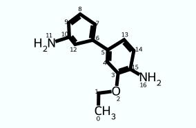 CCOc1cc(-c2cccc(N)c2)ccc1N